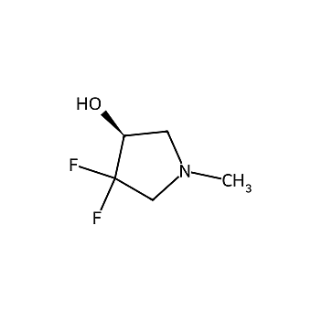 CN1C[C@H](O)C(F)(F)C1